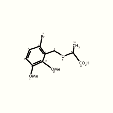 COc1ccc(Br)c(COC(C)C(=O)O)c1OC